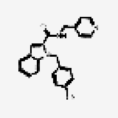 N#Cc1ccc(Cn2c(C(=O)NCc3ccncc3)cc3ccccc32)cc1